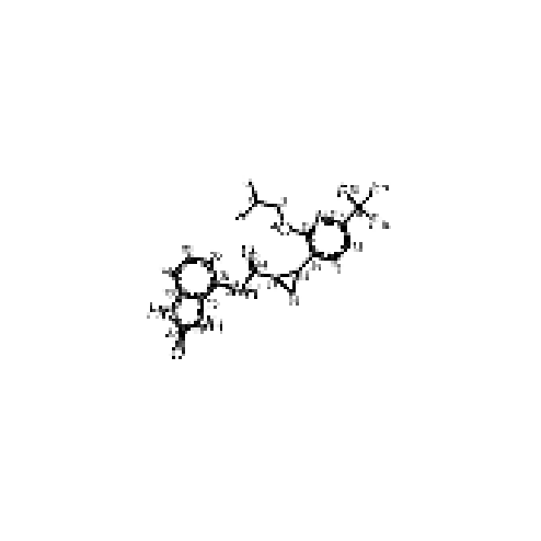 CC(C)COc1nc(C(F)(F)F)ccc1C1CC1C(=O)Nc1cccc2[nH]c(=O)[nH]c12